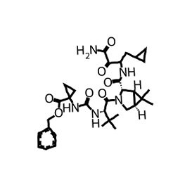 CC(C)(C)[C@H](NC(=O)NC1(C(=O)OCc2ccccc2)CC1)C(=O)N1C[C@H]2[C@@H]([C@H]1C(=O)NC(CC1CC1)C(=O)C(N)=O)C2(C)C